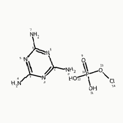 Nc1nc(N)nc(N)n1.O=P(O)(O)OCl